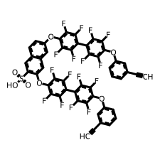 C#Cc1cccc(Oc2c(F)c(F)c(-c3c(F)c(F)c(Oc4ccc5cc(S(=O)(=O)O)c(Oc6c(F)c(F)c(-c7c(F)c(F)c(Oc8cccc(C#C)c8)c(F)c7F)c(F)c6F)cc5c4)c(F)c3F)c(F)c2F)c1